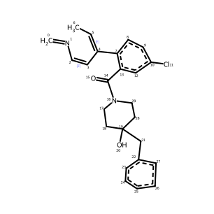 C=N/C=C\C(=C/C)c1ccc(Cl)cc1C(=O)N1CCC(O)(Cc2ccccc2)CC1